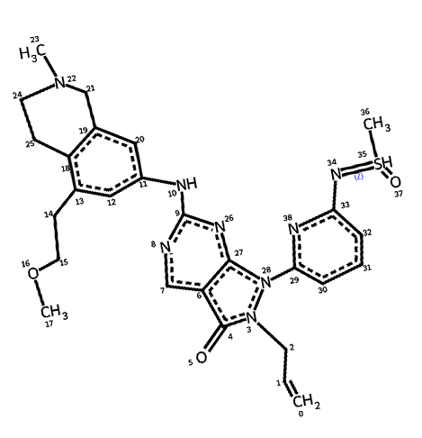 C=CCn1c(=O)c2cnc(Nc3cc(CCOC)c4c(c3)CN(C)CC4)nc2n1-c1cccc(/N=[SH](/C)=O)n1